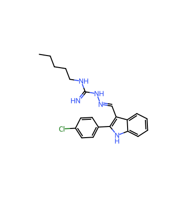 CCCCCNC(=N)NN=Cc1c(-c2ccc(Cl)cc2)[nH]c2ccccc12